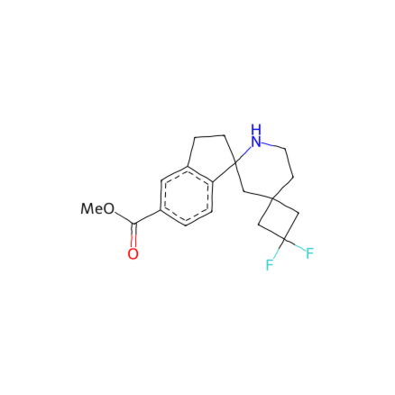 COC(=O)c1ccc2c(c1)CCC21CC2(CCN1)CC(F)(F)C2